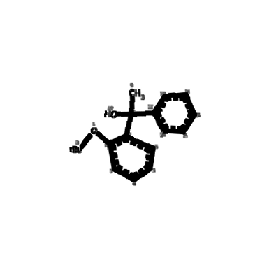 CC(C)(C)Oc1ccccc1C(C)(O)c1ccccc1